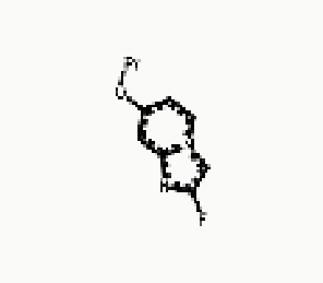 CC(C)Oc1ccn2cc(F)nc2c1